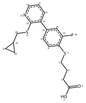 O=C(O)CCCSc1ccc(-c2cccnc2SCC2CC2)cc1F